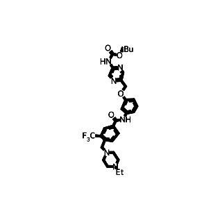 CCN1CCN(Cc2ccc(C(=O)Nc3cccc(OCc4cnc(NC(=O)OC(C)(C)C)cn4)c3)cc2C(F)(F)F)CC1